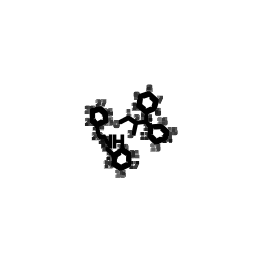 CCC(C)C(c1ccccc1)c1ccccc1.c1ccc(CNCc2ccccc2)cc1